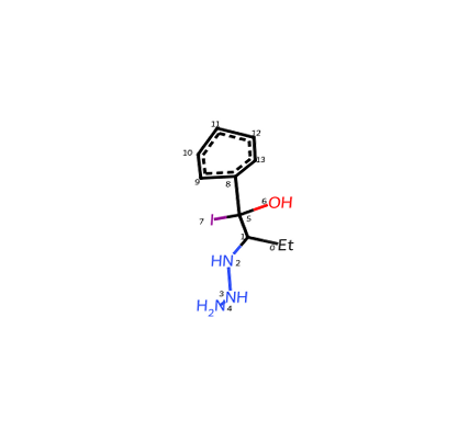 CCC(NNN)C(O)(I)c1ccccc1